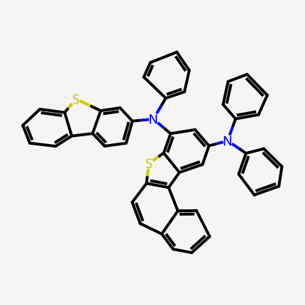 c1ccc(N(c2ccccc2)c2cc(N(c3ccccc3)c3ccc4c(c3)sc3ccccc34)c3sc4ccc5ccccc5c4c3c2)cc1